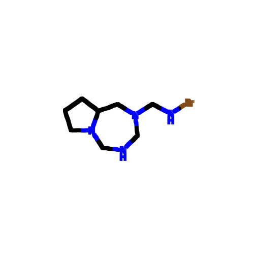 BrNCN1CNCN2CCCC2C1